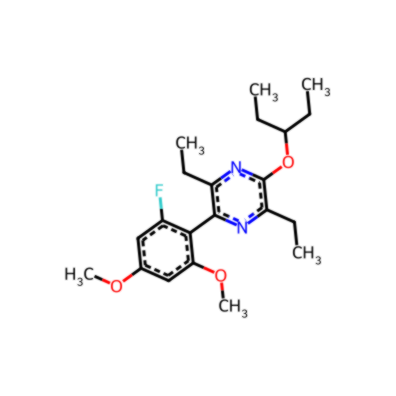 CCc1nc(-c2c(F)cc(OC)cc2OC)c(CC)nc1OC(CC)CC